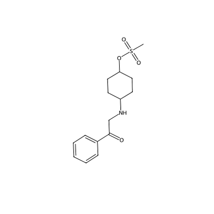 CS(=O)(=O)OC1CCC(NCC(=O)c2ccccc2)CC1